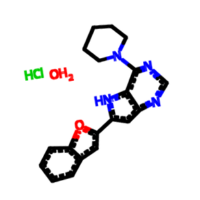 Cl.O.c1ccc2oc(-c3cc4ncnc(N5CCCCC5)c4[nH]3)cc2c1